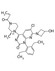 C=CC(=O)N1CCN(c2nc(=O)n(-c3c(CC)cccc3CC)c3nc(N4CC(O)C4)c(Cl)cc23)[C@@H](C)C1